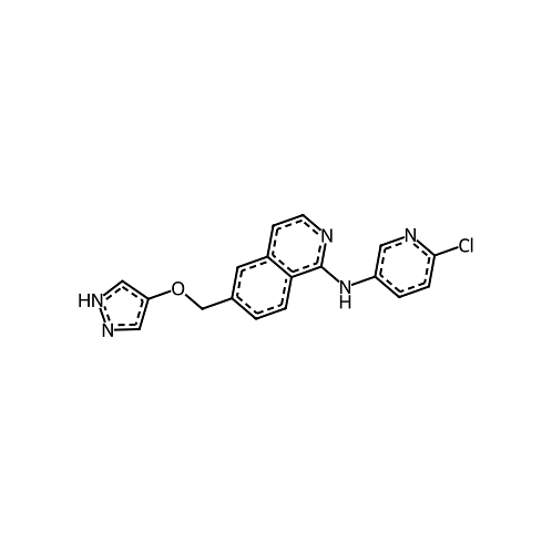 Clc1ccc(Nc2nccc3cc(COc4cn[nH]c4)ccc23)cn1